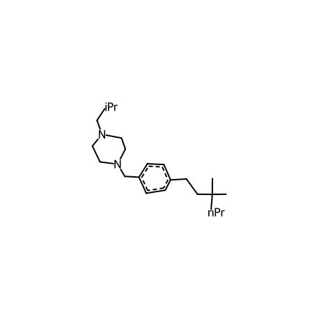 CCCC(C)(C)CCc1ccc(CN2CCN(CC(C)C)CC2)cc1